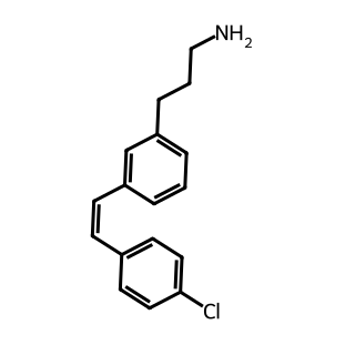 NCCCc1cccc(/C=C\c2ccc(Cl)cc2)c1